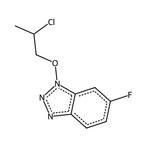 CC(Cl)COn1nnc2ccc(F)cc21